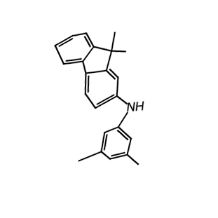 Cc1cc(C)cc(Nc2ccc3c(c2)C(C)(C)c2ccccc2-3)c1